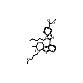 CCCCCn1c(-c2cccc3nc(NCCCOC)n(CCC(C)C)c23)nc2cc(C(=O)OC)ccc21